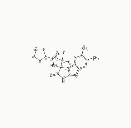 Cc1cc2nc3n(c2cc1C)C(NC(=O)C1CCNC1)(C(F)(F)F)C(=O)N3